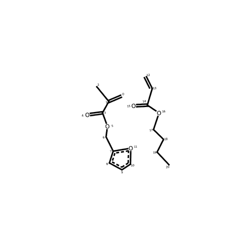 C=C(C)C(=O)OCc1ccco1.C=CC(=O)OCCCC